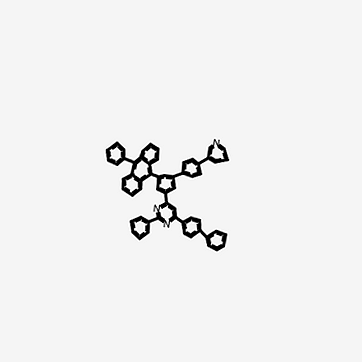 c1ccc(-c2ccc(-c3cc(-c4cc(-c5ccc(-c6cccnc6)cc5)cc(-c5c6ccccc6c(-c6ccccc6)c6ccccc56)c4)nc(-c4ccccc4)n3)cc2)cc1